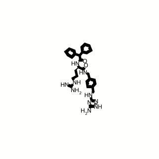 N=C(N)NCCC[C@@H](NC(=O)C(c1ccccc1)c1ccccc1)C(=O)NCc1ccc(CNc2n[nH]c(N)n2)cc1